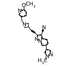 COc1ccc(CN2CC(C#Cc3nn4cc(-c5cnn(C)c5)ccc4c3C#N)C2)cn1